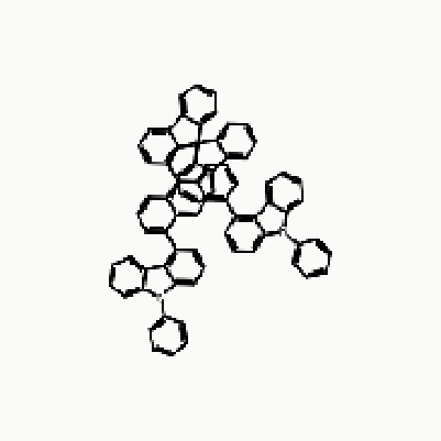 c1ccc(-n2c3ccccc3c3c(-c4cccc5c(-c6cccc7c6C6(c8ccccc8-c8ccccc86)c6ccccc6-7)c6cccc(-c7cccc8c7c7ccccc7n8-c7ccccc7)c6cc45)cccc32)cc1